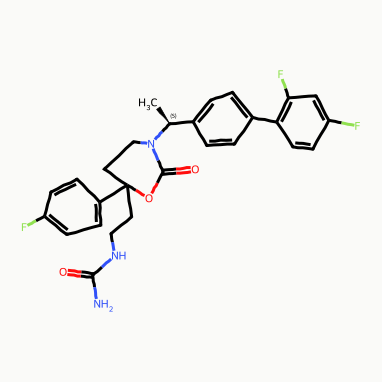 C[C@@H](c1ccc(-c2ccc(F)cc2F)cc1)N1CCC(CCNC(N)=O)(c2ccc(F)cc2)OC1=O